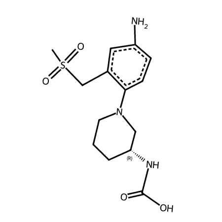 CS(=O)(=O)Cc1cc(N)ccc1N1CCC[C@@H](NC(=O)O)C1